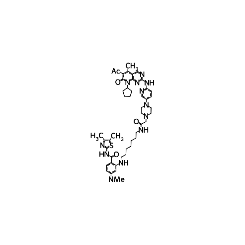 CNc1ccc(C(=O)Nc2nc(C)c(C)s2)c(NCCCCCCCNC(=O)CN2CCN(c3ccc(Nc4ncc5c(C)c(C(C)=O)c(=O)n(C6CCCC6)c5n4)nc3)CC2)c1